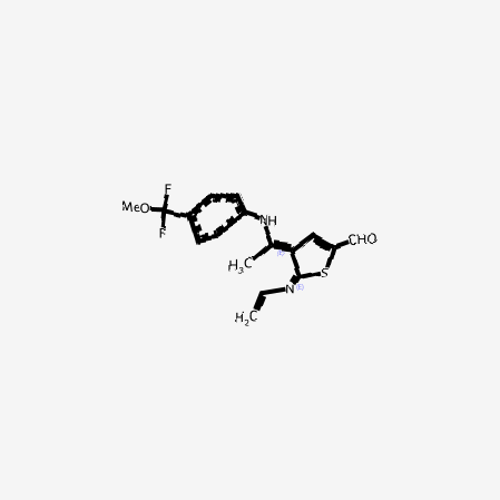 C=C/N=C1/SC(C=O)=C/C1=C(/C)Nc1ccc(C(F)(F)OC)cc1